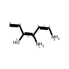 C=C/C(O)=C(N)\C=C/N